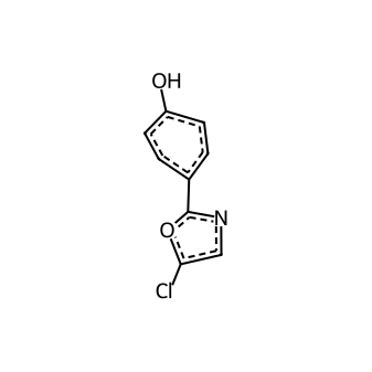 Oc1ccc(-c2ncc(Cl)o2)cc1